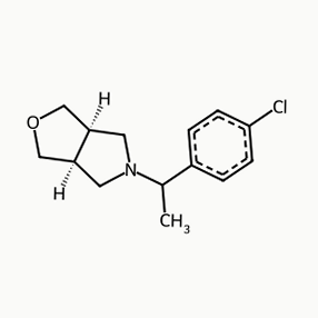 CC(c1ccc(Cl)cc1)N1C[C@H]2COC[C@H]2C1